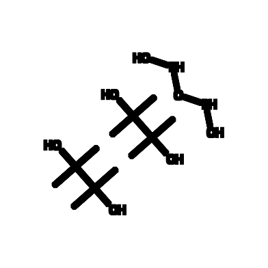 CC(C)(O)C(C)(C)O.CC(C)(O)C(C)(C)O.OBOBO